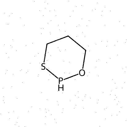 C1COPSC1